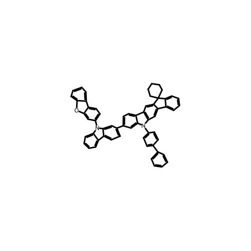 c1ccc(-c2ccc(-n3c4cc(-c5ccc6c7ccccc7n(-c7ccc8c(c7)oc7ccccc78)c6c5)ccc4c4cc5c(cc43)-c3ccccc3C53CCCCC3)cc2)cc1